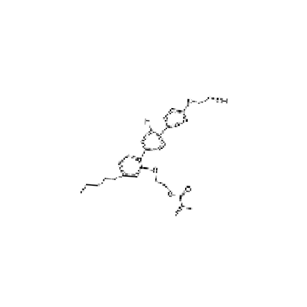 C=C(C)C(=O)OCCOc1cc(CCCCC)ccc1-c1ccc(-c2ccc(OCCO)cc2)c(F)c1